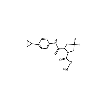 CC(C)(C)OC(=O)N1CC(F)(F)C[C@@H]1C(=O)Nc1ccc(C2CC2)cc1